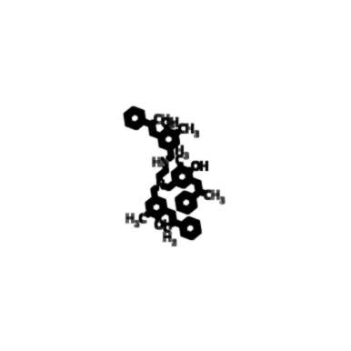 CC(=Cc1cc(CNCCN(Cc2cc(C)c(O)c(C=C(C)c3ccccc3)c2)Cc2cc(C)c(O)c(C=C(C)c3ccccc3)c2)cc(C)c1O)c1ccccc1